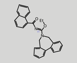 CCO/C(=N\C(=O)c1cccc2ccccc12)N1Cc2ccccc2-c2ccccc2C1